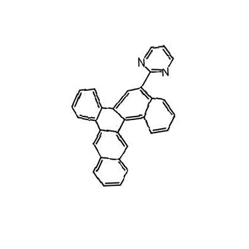 c1cnc(-c2cc3c4ccccc4c4cc5ccccc5cc4c3c3ccccc23)nc1